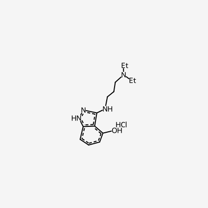 CCN(CC)CCCNc1n[nH]c2cccc(O)c12.Cl